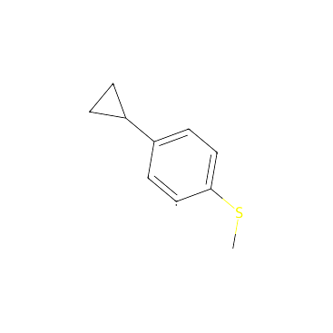 CSc1[c]cc(C2CC2)cc1